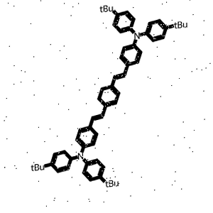 CC(C)(C)C1=CCC(N(c2ccc(/C=C/C3=CC=C(/C=C/c4ccc(N(c5ccc(C(C)(C)C)cc5)c5ccc(C(C)(C)C)cc5)cc4)CC3)cc2)c2ccc(C(C)(C)C)cc2)C=C1